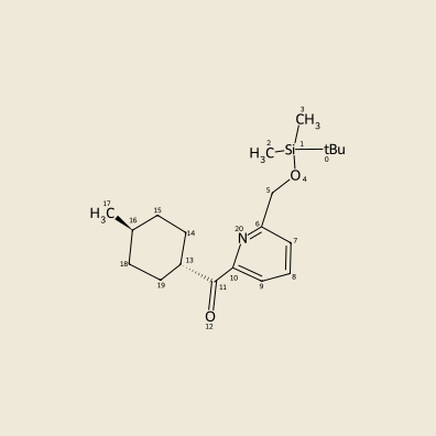 CC(C)(C)[Si](C)(C)OCc1cccc(C(=O)[C@H]2CC[C@H](C)CC2)n1